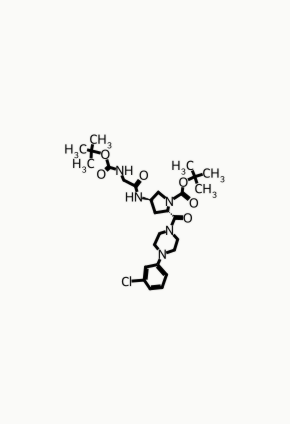 CC(C)(C)OC(=O)NCC(=O)N[C@@H]1C[C@@H](C(=O)N2CCN(c3cccc(Cl)c3)CC2)N(C(=O)OC(C)(C)C)C1